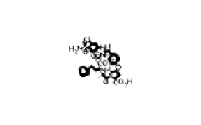 CCOC(=O)[C@H](CCc1ccccc1)N[C@@H](C)C(=O)N1C[C@@H](Oc2ccc(CC3Nc4cc(Cl)c(S(N)(=O)=O)cc4S(=O)(=O)N3)cc2)C[C@H]1C(=O)O